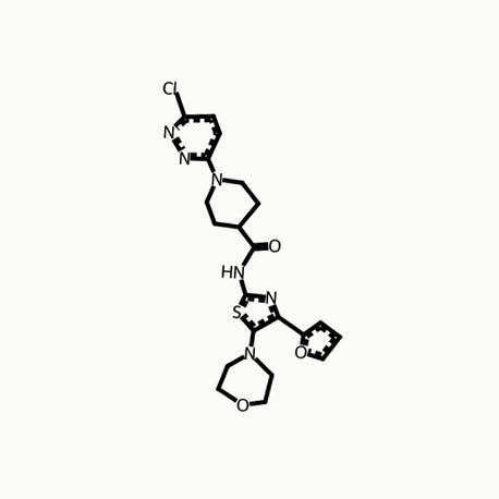 O=C(Nc1nc(-c2ccco2)c(N2CCOCC2)s1)C1CCN(c2ccc(Cl)nn2)CC1